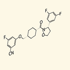 N#Cc1cc(F)cc(OC[C@H]2CC[C@@H](C(=O)N3OCC[C@H]3c3cc(F)cc(F)c3)CC2)c1